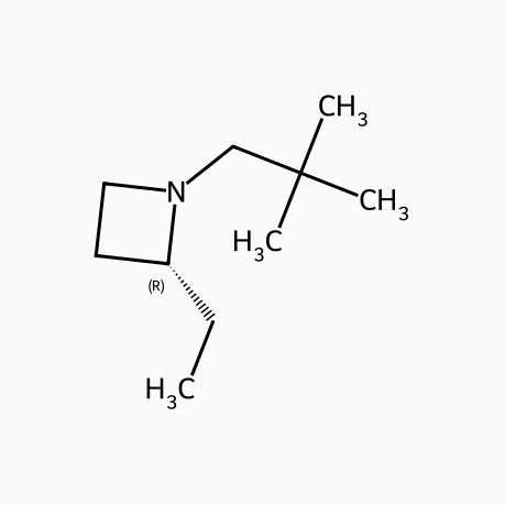 CC[C@@H]1CCN1CC(C)(C)C